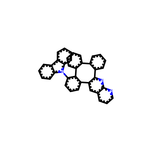 c1ccc2c(c1)-c1ccccc1-c1c(cccc1-n1c3ccccc3c3ccccc31)-c1cc3cccnc3nc1-2